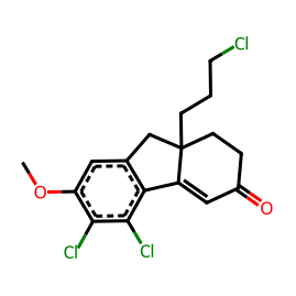 COc1cc2c(c(Cl)c1Cl)C1=CC(=O)CCC1(CCCCl)C2